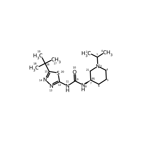 CC(C)N1CCC[C@@H](NC(=O)Nc2nnc(C(C)(C)C)s2)C1